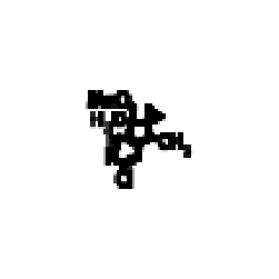 COCC1(C)c2nnc(Cl)cc2C(C)C12CC2